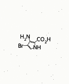 Nc1c(Br)c[nH]c1C(=O)O